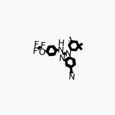 C[C@@H]1CC(n2c(Nc3ccc(OC(F)(F)F)cc3)nc3cc(C#N)ccc32)CC(C)(C)C1